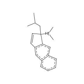 CC(C)C[C]1([Hf]([CH3])[CH3])C=Cc2cc3ccccc3cc21